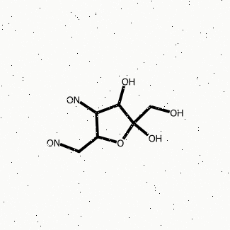 O=NCC1OC(O)(CO)C(O)C1N=O